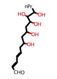 CCCC(O)C(O)C(O)CC(O)CC(O)CC=CC=CC=O